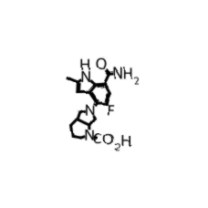 Cc1cc2c(N3CC4CCCN(C(=O)O)C4C3)c(F)cc(C(N)=O)c2[nH]1